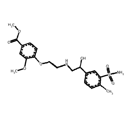 COC(=O)c1ccc(OCCNCC(O)c2ccc(C)c(S(N)(=O)=O)c2)c(OC)c1